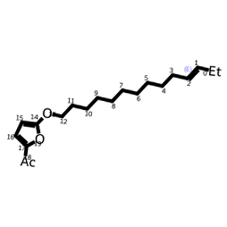 CC/C=C/CCCCCCCCCCOc1ccc(C(C)=O)o1